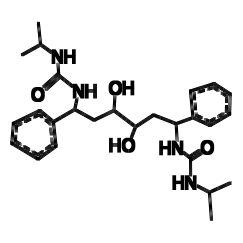 CC(C)NC(=O)NC(CC(O)C(O)CC(NC(=O)NC(C)C)c1ccccc1)c1ccccc1